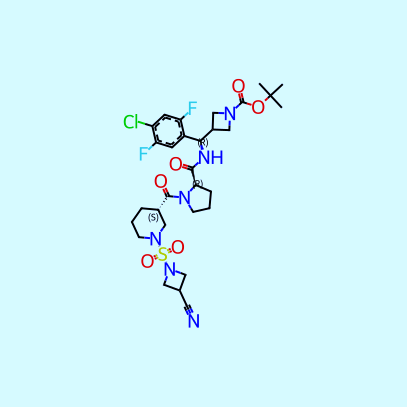 CC(C)(C)OC(=O)N1CC([C@@H](NC(=O)[C@H]2CCCN2C(=O)[C@H]2CCCN(S(=O)(=O)N3CC(C#N)C3)C2)c2cc(F)c(Cl)cc2F)C1